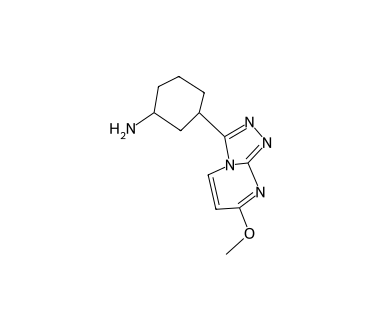 COc1ccn2c(C3CCCC(N)C3)nnc2n1